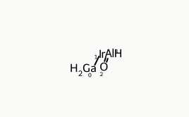 [GaH2][Ir].[O]=[AlH]